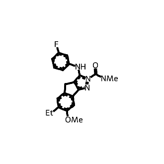 CCc1cc2c(cc1OC)-c1nn(C(=O)NC)c(Nc3cccc(F)c3)c1C2